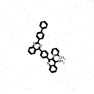 CC1C=CC=CN1c1c(-c2ccc(-c3nc(-c4ccc(-c5ccccc5)cc4)nc4ccccc34)cc2)nc2ccccc2c1N